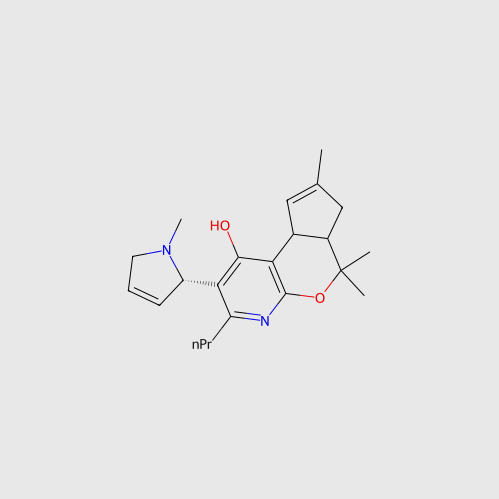 CCCc1nc2c(c(O)c1[C@@H]1C=CCN1C)C1C=C(C)CC1C(C)(C)O2